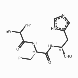 CCCC(CCC)C(=O)N[C@@H](CC(C)C)C(=O)N[C@H](C=O)Cc1cnc[nH]1